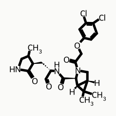 CC1CNC(=O)[C@@H]1C[C@@H](C=O)NC(=O)[C@@H]1[C@@H]2[C@H](CN1C(=O)COc1ccc(Cl)c(Cl)c1)C2(C)C